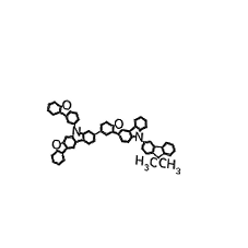 CC1(C)c2ccccc2-c2cc(-n3c4ccccc4c4c5oc6ccc(-c7ccc8c9cc%10c(cc9n(-c9ccc%11oc%12ccccc%12c%11c9)c8c7)oc7ccccc7%10)cc6c5ccc43)ccc21